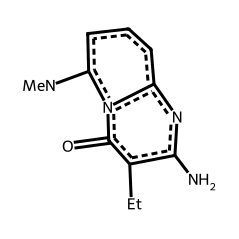 CCc1c(N)nc2cccc(NC)n2c1=O